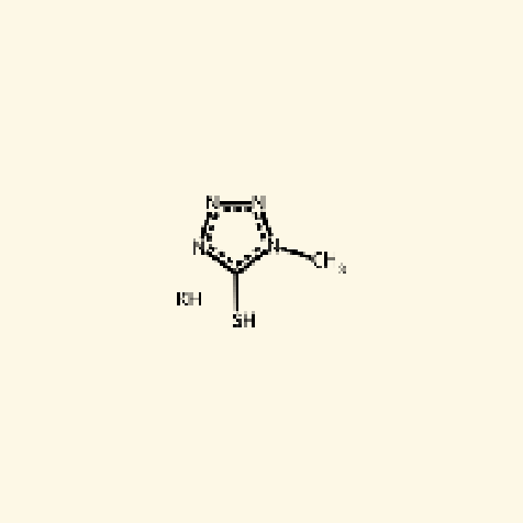 Cn1nnnc1S.[KH]